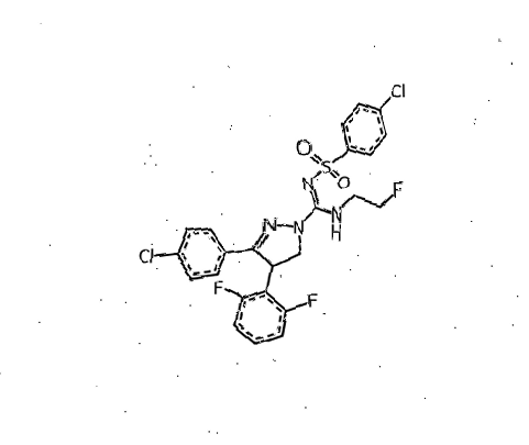 O=S(=O)(/N=C(\NCCF)N1CC(c2c(F)cccc2F)C(c2ccc(Cl)cc2)=N1)c1ccc(Cl)cc1